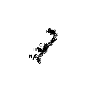 CC1(C)CCC(CN2CCN(c3ccc(C(=O)NS(=O)(=O)c4ccc(NCC5CCC(N6CCN(C(=O)CCCc7cccc8c7CN(C7CCC(=O)NC7=O)C8=O)CC6)CC5)c([N+](=O)[O-])c4)c(Oc4cnc5[nH]ccc5c4)c3)CC2)=C(c2ccc(Cl)cc2)C1